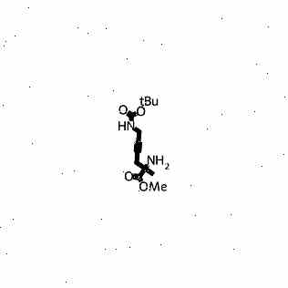 COC(=O)C(C)(N)CC#CCNC(=O)OC(C)(C)C